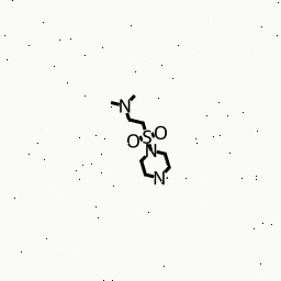 CN(C)CCS(=O)(=O)N1CC[N]CC1